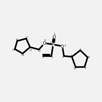 C=CP(=O)(OCC1CCCC1)OCC1CCCC1